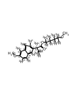 [2H]c1c([C@@]([2H])(C(=O)OC([2H])([2H])C([2H])([2H])C([2H])([2H])C([2H])([2H])OC)C([2H])([2H])[2H])c([2H])c2c([2H])c([2H])c(OC)c([2H])c2c1[2H]